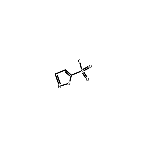 O=S(=O)(Cl)c1ccns1